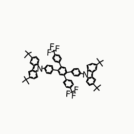 CC(C)(C)c1ccc2c(c1)c1cc(C(C)(C)C)ccc1n2-c1ccc(-c2cc(-c3ccc(C(F)(F)F)cc3)c(-c3ccc(-n4c5ccc(C(C)(C)C)cc5c5cc(C(C)(C)C)ccc54)cc3)cc2-c2ccc(C(F)(F)F)cc2)cc1